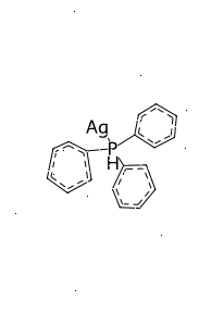 [Ag][PH](c1ccccc1)(c1ccccc1)c1ccccc1